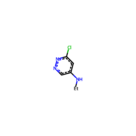 CCNc1cnnc(Cl)c1